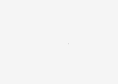 COC.Cc1ccc(C)cc1.Oc1ccccc1